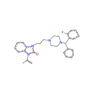 C=C(C)n1c(=O)n(CCCN2CCN(C(c3ccccc3)c3ccccc3F)CC2)c2ccccc21